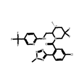 C[C@@H]1CC(F)(F)CN(C(=O)c2cc(Cl)ccc2-c2nnn(C)n2)C1CNc1ccc(C(F)(F)F)cn1